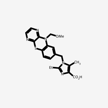 CCc1nc(C(=O)O)c(C)n1Cc1ccc2c(c1)N(COC)c1nccnc1S2